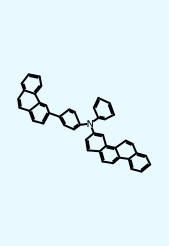 c1ccc(N(c2ccc(-c3ccc4ccc5ccccc5c4c3)cc2)c2ccc3ccc4c5ccccc5ccc4c3c2)cc1